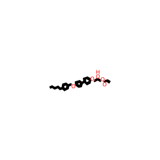 C=CC(=O)OCC(O)COc1ccc(-c2ccc(OCc3ccc(CCCCC)cc3)cc2)cc1